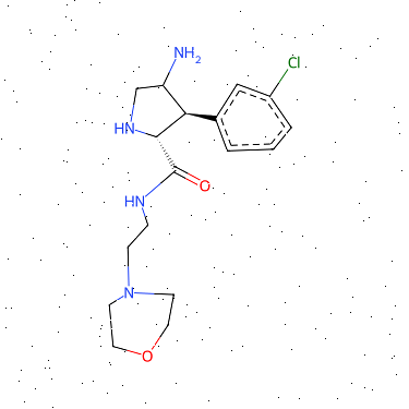 NC1CN[C@@H](C(=O)NCCN2CCOCC2)[C@@H]1c1cccc(Cl)c1